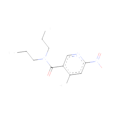 CCCN(CCC)C(=O)c1cnc([N+](=O)[O-])cc1C